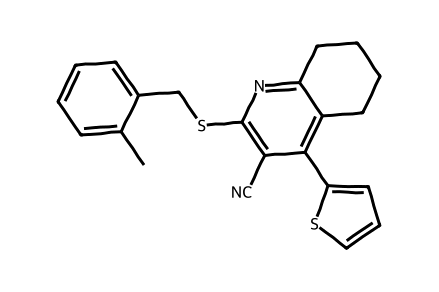 Cc1ccccc1CSc1nc2c(c(-c3cccs3)c1C#N)CCCC2